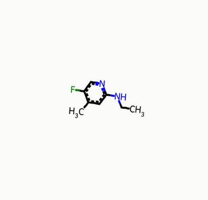 CCNc1cc(C)c(F)cn1